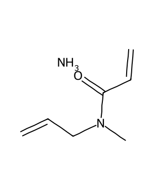 C=CCN(C)C(=O)C=C.N